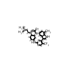 CCC(=O)Nc1cc(Nc2ncc(C(F)(F)F)c(-c3c[nH]c4c(C)cccc34)n2)ccc1N(C)CCN(C)C